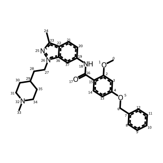 COc1cc(OCc2ccccc2)ccc1C(=O)Nc1ccc2c(C)nn(CCC3CCN(C)CC3)c2c1